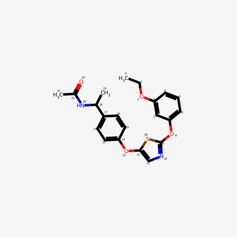 CCOc1cccc(Oc2ncc(Oc3ccc(C(C)NC(C)=O)cc3)s2)c1